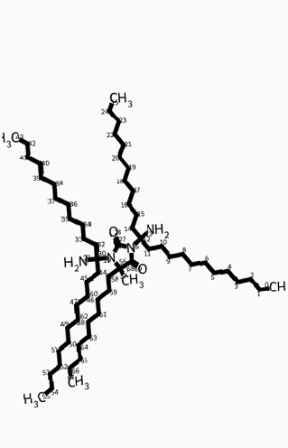 CCCCCCCCCCCCC(N)(CCCCCCCCCCCC)N1C(=O)N(C(N)(CCCCCCCCCCCC)CCCCCCCCCCCC)C(C)(CCCCCCCCCC)C1=O